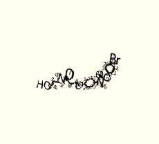 CN(CCCO)C(=O)CCOC1CCC(N(C)C(=O)Oc2ccc(Br)cc2)CC1